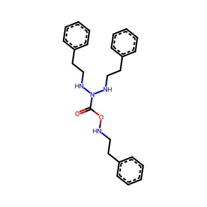 O=C(ONCCc1ccccc1)N(NCCc1ccccc1)NCCc1ccccc1